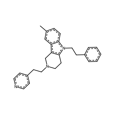 Cc1ccc2c(c1)c1c(n2CCc2ccccc2)CCN(CCc2ccncc2)C1